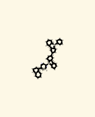 C=C(/C=C\C(=C/C)n1c2ccccc2c2cc(-c3ccc4c(c3)c3ccccc3n4-c3ccccc3)ccc21)c1cccc2ccccc12